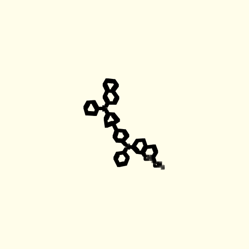 CC/C=C\C1=C(C)C=C(N(c2ccc(-c3ccc(N(c4ccccc4)c4ccc5ccccc5c4)cc3)cc2)C2C=CC=CC2)CC1